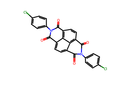 O=C1c2ccc3c4c(ccc(c24)C(=O)N1c1ccc(Cl)cc1)C(=O)N(c1ccc(Cl)cc1)C3=O